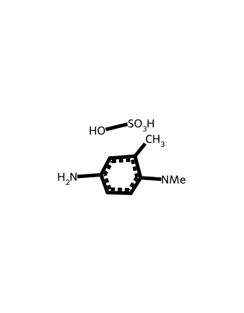 CNc1ccc(N)cc1C.O=S(=O)(O)O